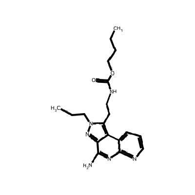 CCCCOC(=O)NCCc1c2c(nn1CCC)c(N)nc1ncccc12